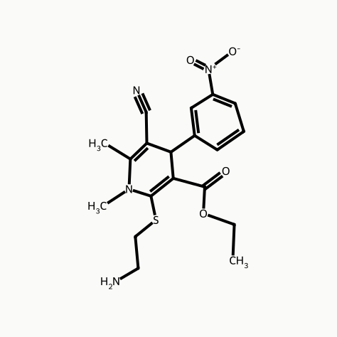 CCOC(=O)C1=C(SCCN)N(C)C(C)=C(C#N)C1c1cccc([N+](=O)[O-])c1